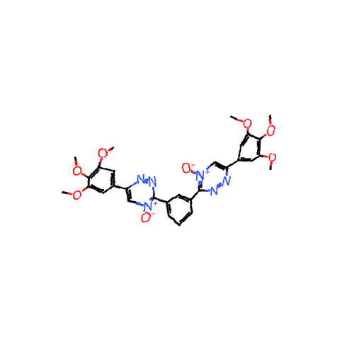 COc1cc(-c2c[n+]([O-])c(-c3cccc(-c4nnc(-c5cc(OC)c(OC)c(OC)c5)c[n+]4[O-])c3)nn2)cc(OC)c1OC